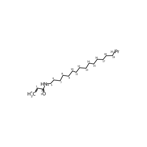 C=CC(=O)NCCCCCCCCCCCCCCCC(C)C